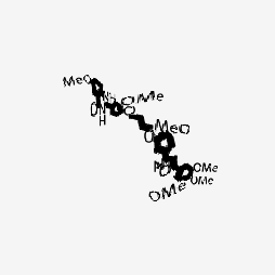 COc1ccc2c(c1)C(=O)NC(c1ccc(OCCCCOc3cc(-c4cc(-c5cc(OC)c(OC)c(OC)c5)on4)ccc3OC)c(OC)c1)N2